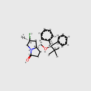 [2H][C@@]1(F)CN2C(=O)CC[C@]2(CO[Si](c2ccccc2)(c2ccccc2)C(C)(C)C)C1